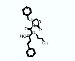 O=C1OC[C@@H](Cc2ccccc2)N1C(=O)[C@H](CCCO)[C@H](O)C=Cc1ccccc1